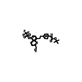 COCc1ccc2c(n1)c(CCC13CCC(NC(=O)OC(C)(C)C)(CC1)CO3)cc[n+]2OS(=O)(=O)C(F)(F)F